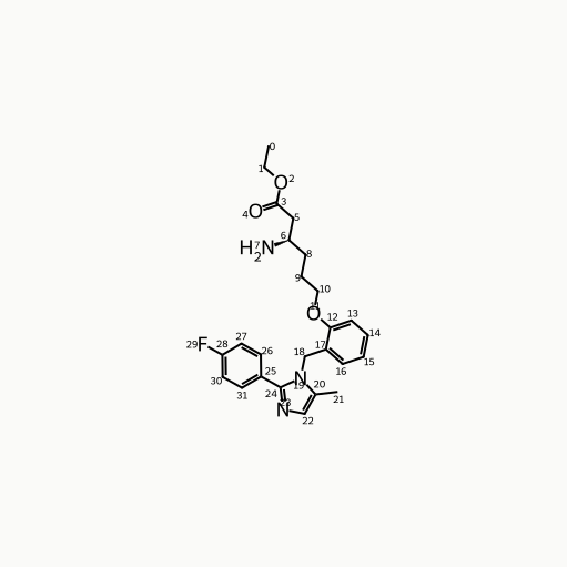 CCOC(=O)C[C@H](N)CCCOc1ccccc1Cn1c(C)cnc1-c1ccc(F)cc1